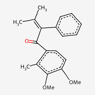 COc1ccc(C(=O)C(=C(C)C)c2ccccc2)c(C)c1OC